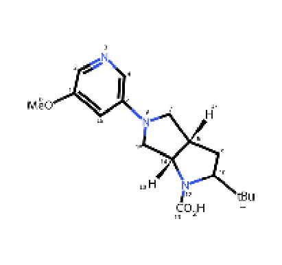 COc1cncc(N2C[C@@H]3CC(C(C)(C)C)N(C(=O)O)[C@@H]3C2)c1